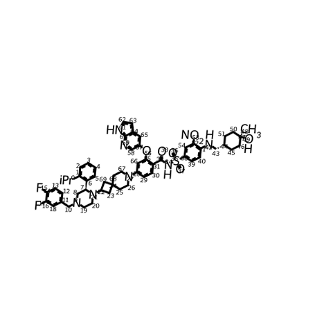 CC(C)c1ccccc1[C@@H]1CN(Cc2ccc(F)c(F)c2)CCN1C1CC2(CCN(c3ccc(C(=O)NS(=O)(=O)c4ccc(NC[C@H]5CC[C@](C)(O)CC5)c([N+](=O)[O-])c4)c(Oc4cnc5[nH]ccc5c4)c3)CC2)C1